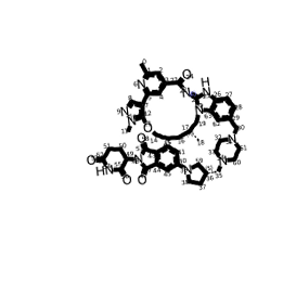 Cc1cc2cc(n1)-c1cnn(C)c1OCCC[C@@H](C)CN1/C(=N/C2=O)Nc2ccc(CN3CCN(C[C@@H]4CCN(c5ccc6c(c5)C(=O)N(C5CCC(=O)NC5=O)C6=O)C4)CC3)cc21